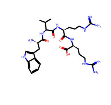 CC(C)[C@H](NC(=O)[C@@H](N)Cc1c[nH]c2ccccc12)C(=O)N[C@@H](CCCNC(=N)N)C(=O)N[C@@H](CCCNC(=N)N)C(=O)O